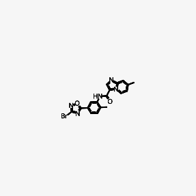 Cc1ccn2c(C(=O)Nc3cc(-c4nc(Br)no4)ccc3C)cnc2c1